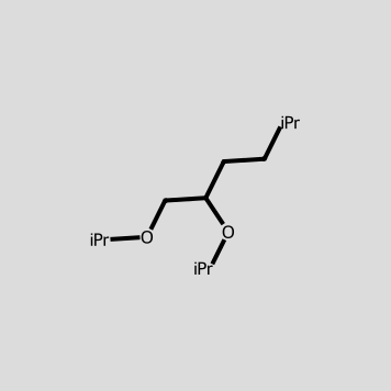 CC(C)CCC(COC(C)C)OC(C)C